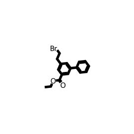 CCOC(=O)c1cc(CCBr)cc(-c2ccccc2)c1